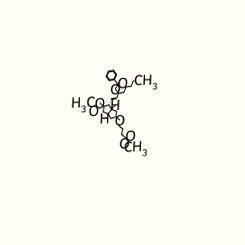 CCCCCC(C=C[C@@H]1[C@@H]2CC(OCCCC(=O)OC)C[C@H]2C[C@H]1OC(C)=O)OC(=O)c1ccccc1